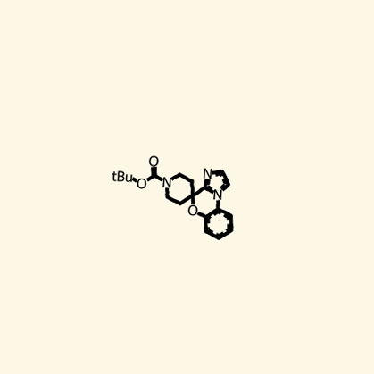 CC(C)(C)OC(=O)N1CCC2(CC1)Oc1ccccc1-n1ccnc12